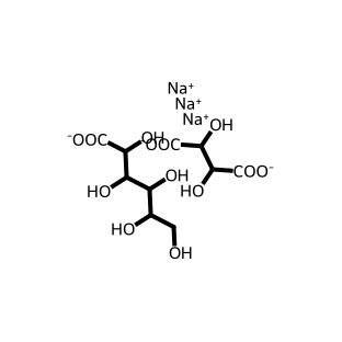 O=C([O-])C(O)C(O)C(=O)[O-].O=C([O-])C(O)C(O)C(O)C(O)CO.[Na+].[Na+].[Na+]